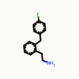 NCCc1ccccc1Cc1ccc(F)cc1